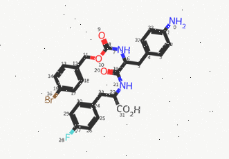 Nc1ccc(CC(NC(=O)OCc2ccc(Br)cc2)C(=O)NC(Cc2ccc(F)cc2)C(=O)O)cc1